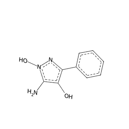 Nc1c(O)c(-c2ccccc2)nn1O